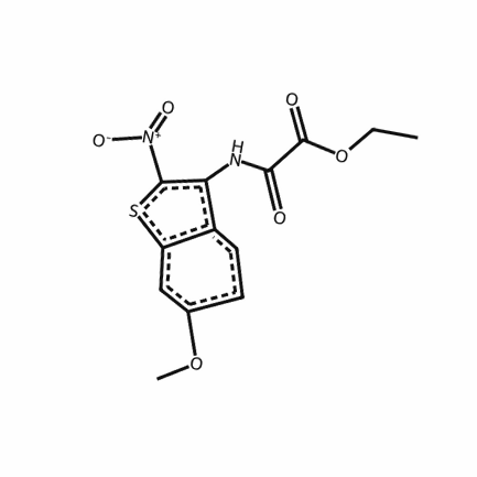 CCOC(=O)C(=O)Nc1c([N+](=O)[O-])sc2cc(OC)ccc12